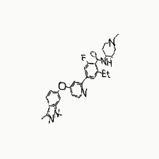 CCc1cc(-c2cc(Oc3ccc4c(C)nn(C)c4c3)ccn2)cc(F)c1C(=O)NC1CCN(C)CC1